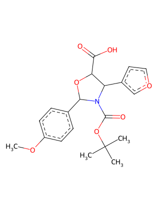 COc1ccc(C2OC(C(=O)O)C(c3ccoc3)N2C(=O)OC(C)(C)C)cc1